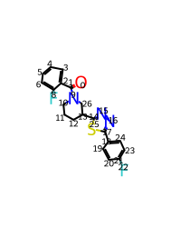 O=C(c1ccccc1F)N1CCCC(c2nnc(-c3ccc(F)cc3)s2)C1